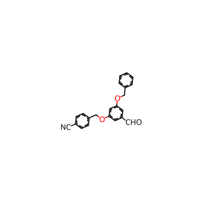 N#Cc1ccc(COc2cc(C=O)cc(OCc3ccccc3)c2)cc1